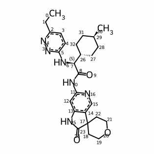 CCc1ccc(N[C@H](C(=O)Nc2cc3c(cn2)C2(CCOCC2)C(=O)N3)[C@H]2CC[C@H](C)CC2)nn1